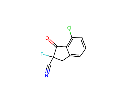 N#CC1(F)Cc2cccc(Cl)c2C1=O